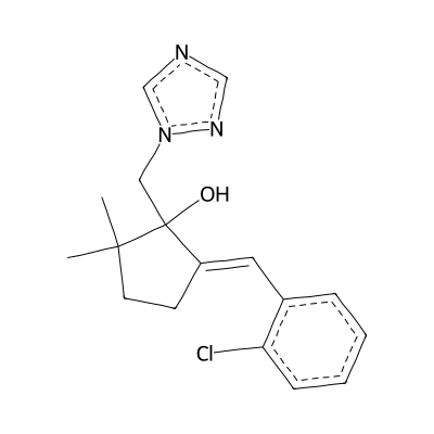 CC1(C)CCC(=Cc2ccccc2Cl)C1(O)Cn1cncn1